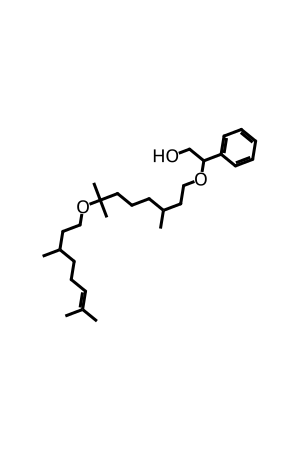 CC(C)=CCCC(C)CCOC(C)(C)CCCC(C)CCOC(CO)c1ccccc1